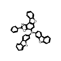 c1ccc(-c2nc3c(o2)c(N(c2ccc4c(c2)oc2ccccc24)c2ccc4c(c2)sc2ccccc24)cc2oc4ccccc4c23)cc1